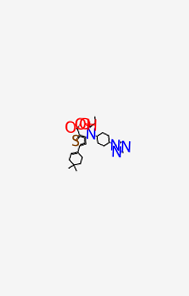 CCC(=O)N(c1cc(C2=CCC(C)(C)CC2)sc1C(=O)O)C1CCC(n2cncn2)CC1